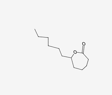 CCCCCCC1CCCCC(=O)O1